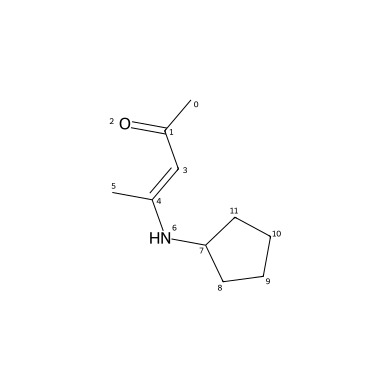 CC(=O)C=C(C)NC1CCCC1